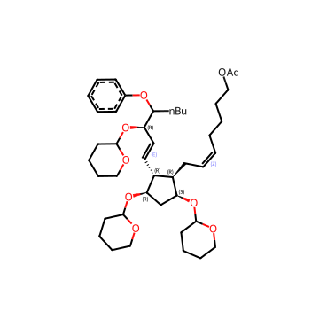 CCCCC(Oc1ccccc1)[C@@H](/C=C/[C@@H]1[C@@H](C/C=C\CCCCOC(C)=O)[C@@H](OC2CCCCO2)C[C@H]1OC1CCCCO1)OC1CCCCO1